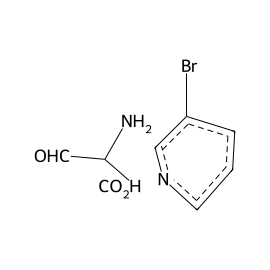 Brc1cccnc1.NC(C=O)C(=O)O